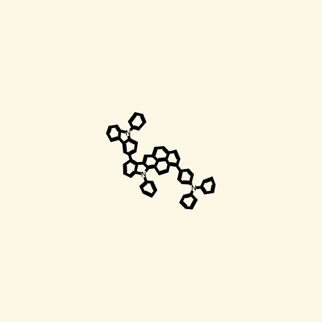 c1ccc(N(c2ccccc2)c2ccc(-c3ccc4ccc5cc6c7c(-c8ccc9c(c8)c8ccccc8n9-c8ccccc8)cccc7n(-c7ccccc7)c6c6ccc3c4c56)cc2)cc1